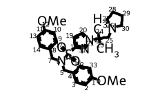 COc1ccc(CN(Cc2ccc(OC)cc2)S(=O)(=O)c2ccn(C(C)(C)CN3CCCC3)n2)cc1